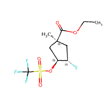 CCOC(=O)[C@]1(C)C[C@H](OS(=O)(=O)C(F)(F)F)[C@@H](F)C1